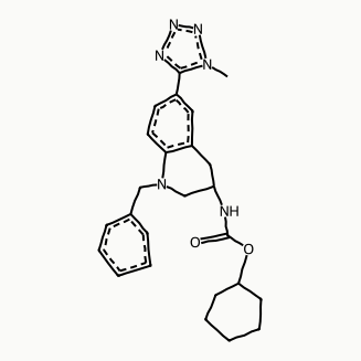 Cn1nnnc1-c1ccc2c(c1)CC(NC(=O)OC1CCCCC1)CN2Cc1ccccc1